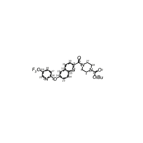 CC(C)COC(=O)N1CCN(C(=O)c2ccc3cc(Oc4ccc(C(F)(F)F)cn4)ccc3n2)CC1